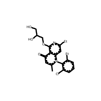 CCc1cc2c(c(OCC(O)CO)n1)c(=O)cc(C)n2-c1c(Cl)cccc1CC